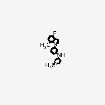 Cc1ccc(F)c2ccn(-c3cccc(NC4CCN(C)C4)c3)c12